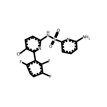 Nc1cccc(S(=O)(=O)Nc2ccc(Cl)c(-c3c(F)ccc(F)c3F)n2)n1